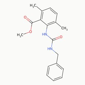 COC(=O)c1c(C)ccc(C)c1NC(=O)NCc1ccccc1